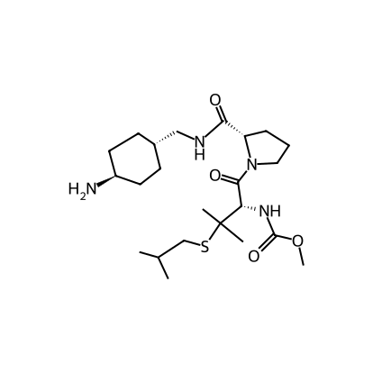 COC(=O)N[C@@H](C(=O)N1CCC[C@H]1C(=O)NC[C@H]1CC[C@H](N)CC1)C(C)(C)SCC(C)C